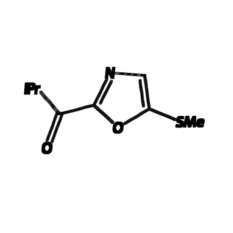 CSc1cnc(C(=O)C(C)C)o1